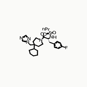 CCCS(=O)(=O)N[C@H](Cc1ccc(F)cc1)C(=O)N1CCC(Cn2cncn2)(C2CCCCC2)CC1